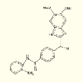 COc1cc2nc(C(S)c3ccc(C(=O)Nc4ccccc4N)cc3)[nH]c2cc1OC